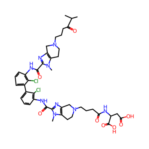 CC(C)C(=O)CCCN1CCc2c(nc(C(=O)Nc3cccc(-c4cccc(NC(=O)c5nc6c(n5C)CCN(CCCC(=O)NC(CC(=O)O)C(=O)O)C6)c4Cl)c3Cl)n2C)C1